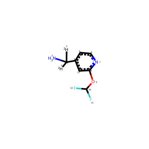 [2H]C([2H])(N)c1ccnc(OC(F)F)c1